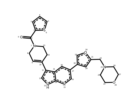 O=C(c1cccs1)N1CC=C(c2c[nH]c3ncc(-c4coc(CN5CCOCC5)c4)cc23)CC1